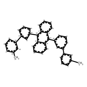 Cc1cccc(-c2cccc(-c3c4ccccc4c(-c4cccc(-c5cccc(C)c5)c4)c4ccccc34)c2)c1